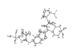 CC(C)c1conc1C(=O)NC(c1nc2cc(CN3CC(C(F)(F)F)NC3=O)ccc2o1)C1CCC(F)(F)CC1